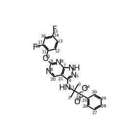 CC(C)(Nc1n[nH]c2nc(Oc3ccc(F)cc3F)ncc12)S(=O)(=O)c1ccccc1